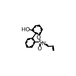 C=CC=NS(=O)(=O)c1ccccc1-c1ccccc1O